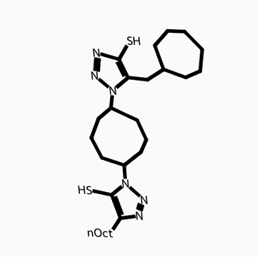 CCCCCCCCc1nnn(C2CCCC(n3nnc(S)c3CC3CCCCCC3)CCC2)c1S